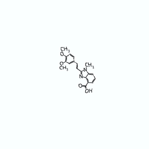 COc1ccc(C=Cc2nc3c(C(=O)O)cccc3n2C)cc1OC